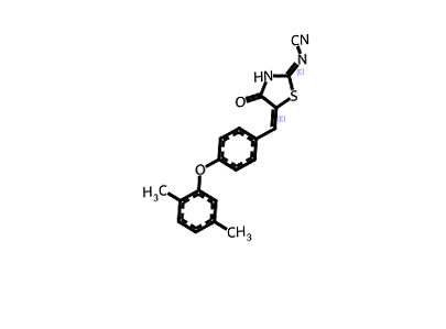 Cc1ccc(C)c(Oc2ccc(/C=C3/S/C(=N/C#N)NC3=O)cc2)c1